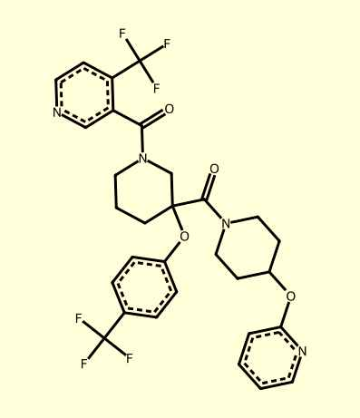 O=C(c1cnccc1C(F)(F)F)N1CCCC(Oc2ccc(C(F)(F)F)cc2)(C(=O)N2CCC(Oc3ccccn3)CC2)C1